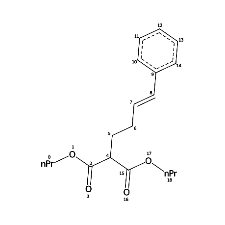 CCCOC(=O)C(CCC=Cc1ccccc1)C(=O)OCCC